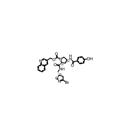 O=C(N[C@@H]1C[C@@H](C(=O)NC[C@@H]2CC(Br)=NO2)N(C(=O)OCc2cnc3ccccc3c2)C1)c1ccc(O)cc1